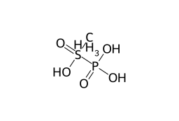 C[SH](=O)(O)P(=O)(O)O